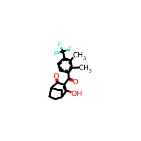 Cc1c(C(=O)C2=C(O)C3CCC(C3)C2=O)ccc(C(F)(F)F)c1C